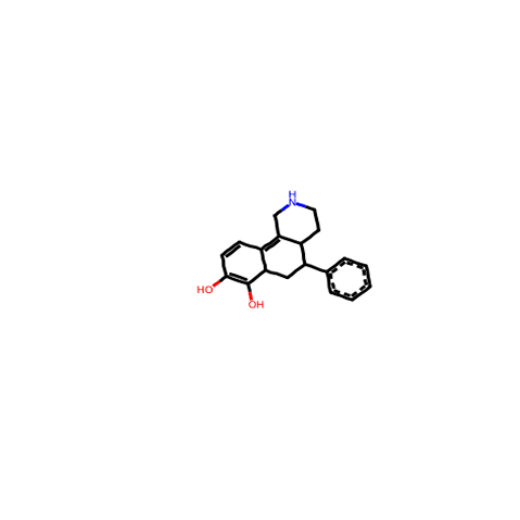 OC1=C(O)C2CC(c3ccccc3)C3CCNCC3=C2C=C1